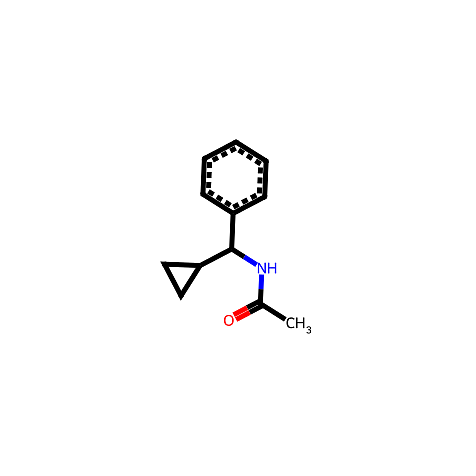 CC(=O)NC(c1ccccc1)C1CC1